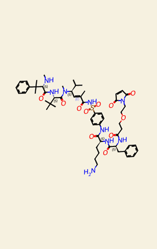 CN[C@H](C(=O)N[C@H](C(=O)N(C)[C@H](/C=C(\C)C(=O)NS(=O)(=O)c1ccc(NC(=O)[C@H](CCCCN)NC(=O)[C@H](Cc2ccccc2)NC(=O)CCOCCN2C(=O)C=CC2=O)cc1)C(C)C)C(C)(C)C)C(C)(C)c1ccccc1